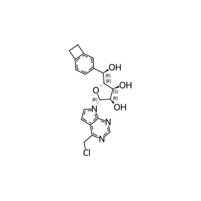 O[C@@H]1[C@H](O)[C@@H]([C@H](O)c2ccc3c(c2)CC3)O[C@H]1n1ccc2c(CCl)ncnc21